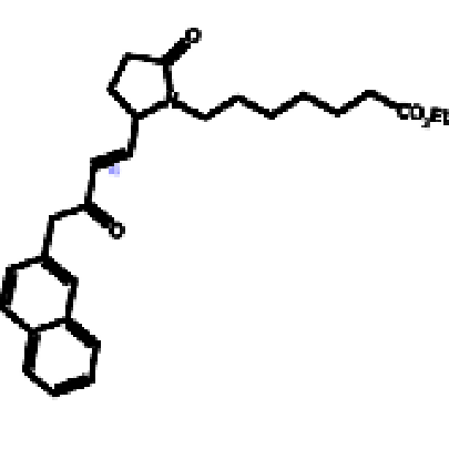 CCOC(=O)CCCCCCN1C(=O)CCC1/C=C/C(=O)Cc1ccc2ccccc2c1